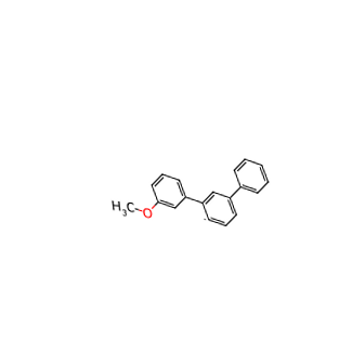 COc1cccc(-c2[c]ccc(-c3ccccc3)c2)c1